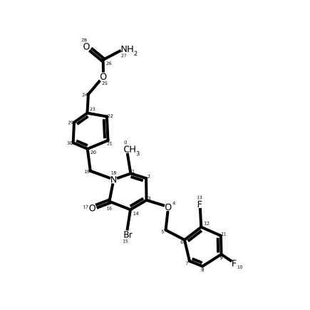 Cc1cc(OCc2ccc(F)cc2F)c(Br)c(=O)n1Cc1ccc(COC(N)=O)cc1